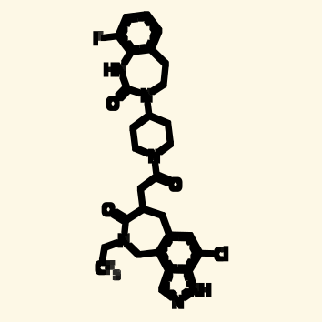 O=C(CC1Cc2cc(Cl)c3[nH]ncc3c2CN(CC(F)(F)F)C1=O)N1CCC(N2CCc3cccc(F)c3NC2=O)CC1